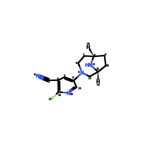 N#Cc1cc(N2CC[C@H]3CC[C@@H](C2)N3)cnc1F